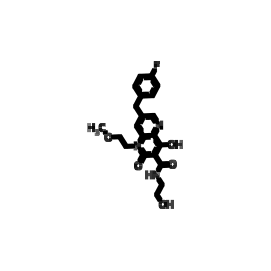 COCCn1c(=O)c(C(=O)NCCO)c(O)c2ncc(Cc3ccc(F)cc3)cc21